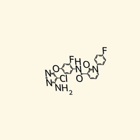 Nc1ncnc(Oc2ccc(NC(=O)c3cccn(-c4ccc(F)cc4)c3=O)c(F)c2)c1Cl